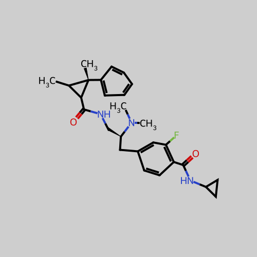 CC1C(C(=O)NC[C@H](Cc2ccc(C(=O)NC3CC3)c(F)c2)N(C)C)[C@@]1(C)c1ccccc1